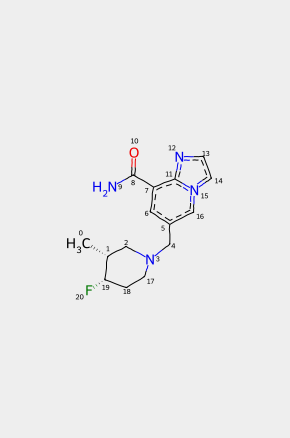 C[C@@H]1CN(Cc2cc(C(N)=O)c3nccn3c2)CC[C@@H]1F